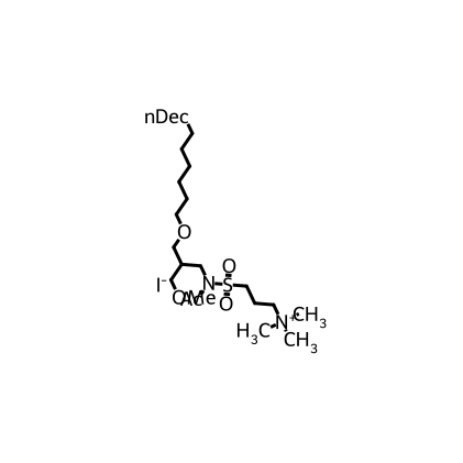 CCCCCCCCCCCCCCCCOCC(COC)CN(C(C)=O)S(=O)(=O)CCC[N+](C)(C)C.[I-]